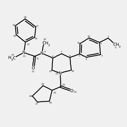 CCc1ccc(C2CC(N(C)C(=O)N(C)c3ccccc3)CN(C(=O)C3CCCC3)C2)cc1